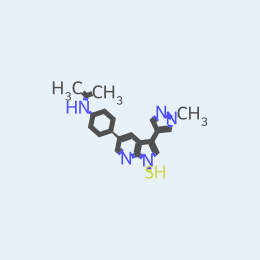 CC(C)N[C@H]1CC[C@@H](c2cnc3c(c2)c(-c2cnn(C)c2)cn3S)CC1